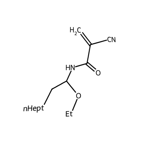 C=C(C#N)C(=O)NC(CCCCCCCC)OCC